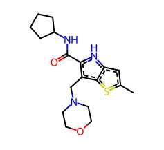 Cc1cc2[nH]c(C(=O)NC3CCCC3)c(CN3CCOCC3)c2s1